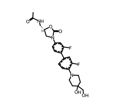 CC(=O)NC[C@H]1CN(c2ccc(-c3ccc(N4CCC(O)(CO)CC4)c(F)c3)c(F)c2)C(=O)O1